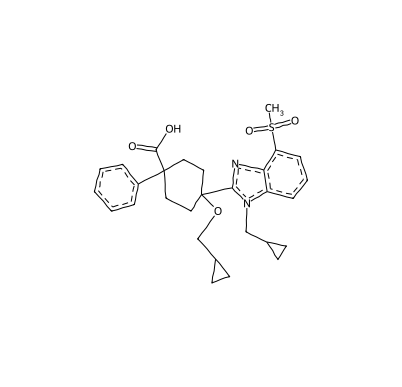 CS(=O)(=O)c1cccc2c1nc(C1(OCC3CC3)CCC(C(=O)O)(c3ccccc3)CC1)n2CC1CC1